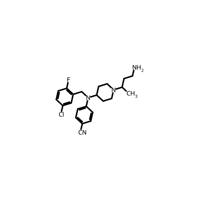 CC(CCN)N1CCC(N(Cc2cc(Cl)ccc2F)c2ccc(C#N)cc2)CC1